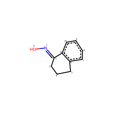 O/N=C1\CCCc2ccccc21